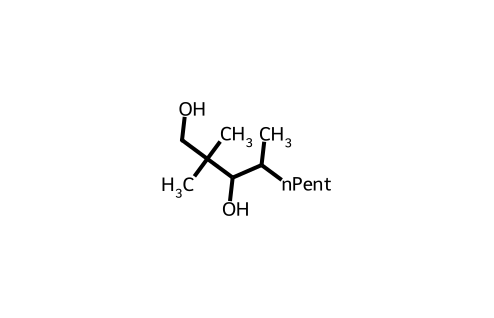 CCCCCC(C)C(O)C(C)(C)CO